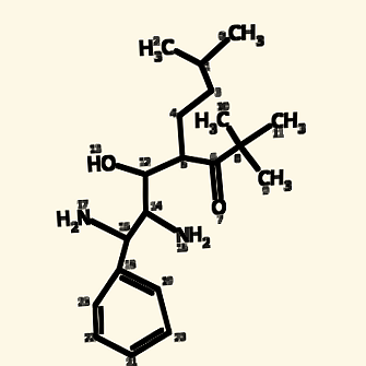 CC(C)CCC(C(=O)C(C)(C)C)C(O)C(N)C(N)c1ccccc1